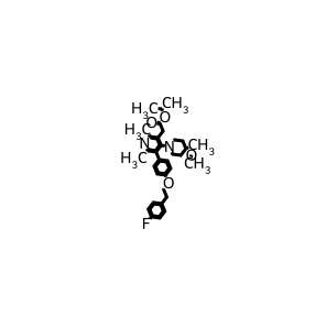 COC1(C)CCN(c2c(CC(=O)OC(C)C)c(C)nc(C)c2-c2ccc(OCCc3ccc(F)cc3)cc2)CC1